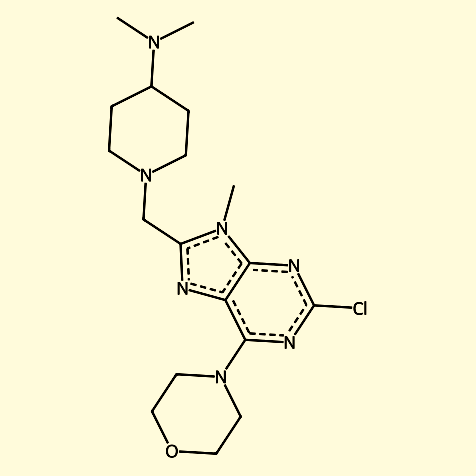 CN(C)C1CCN(Cc2nc3c(N4CCOCC4)nc(Cl)nc3n2C)CC1